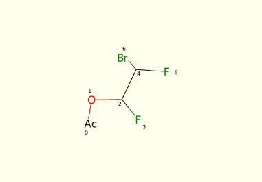 CC(=O)OC(F)C(F)Br